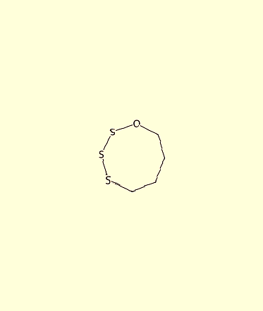 C1CCSSSOC1